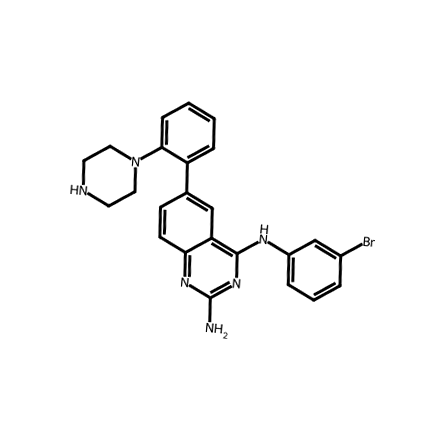 Nc1nc(Nc2cccc(Br)c2)c2cc(-c3ccccc3N3CCNCC3)ccc2n1